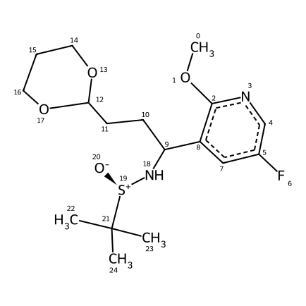 COc1ncc(F)cc1C(CCC1OCCCO1)N[S@+]([O-])C(C)(C)C